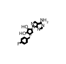 Nc1ncnc2c1cnn2[C@@H]1C[C@H](Cc2ccc(F)cc2)[C@@H](O)[C@H]1O